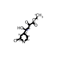 CCOC(=O)C(=O)/C=C(\O)c1ccnc(Cl)c1